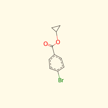 O=C(OC1CC1)c1ccc(Br)cc1